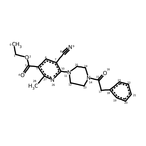 CCOC(=O)c1cc(C#N)c(N2CCN(C(=O)Cc3ccccc3)CC2)nc1C